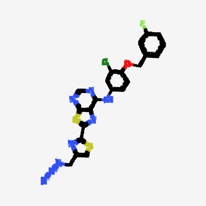 [N-]=[N+]=NCc1csc(-c2nc3c(Nc4ccc(OCc5cccc(F)c5)c(Cl)c4)ncnc3s2)n1